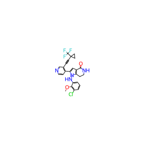 COc1c(Cl)cccc1Nn1c(-c2ccncc2C#CC2(C(F)(F)F)CC2)cc2c1CCNC2=O